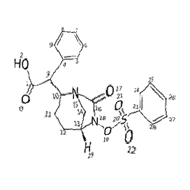 O=C(O)C(c1ccccc1)C1CC[C@@H]2CN1C(=O)N2OS(=O)(=O)c1ccccc1